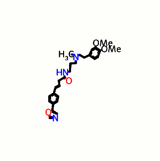 COc1ccc(CCN(C)CCCNC(=O)C/C=C/c2ccc(-c3cnco3)cc2)cc1OC